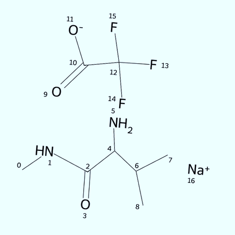 CNC(=O)C(N)C(C)C.O=C([O-])C(F)(F)F.[Na+]